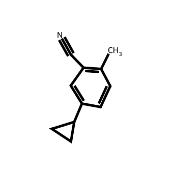 Cc1ccc(C2CC2)cc1C#N